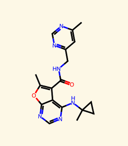 Cc1cc(CNC(=O)c2c(C)oc3ncnc(NC4(C)CC4)c23)ncn1